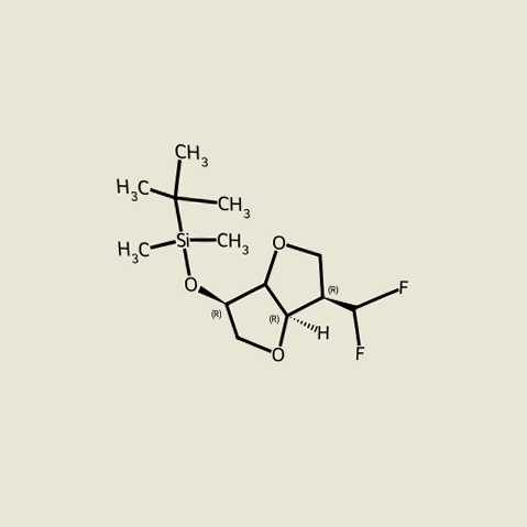 CC(C)(C)[Si](C)(C)O[C@@H]1CO[C@H]2C1OC[C@H]2C(F)F